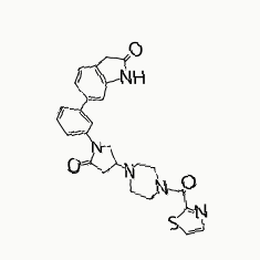 O=C1Cc2ccc(-c3cccc(N4CC(N5CCN(C(=O)c6nccs6)CC5)CC4=O)c3)cc2N1